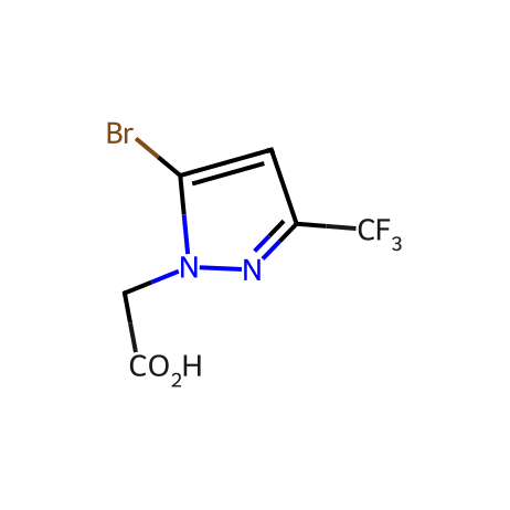 O=C(O)Cn1nc(C(F)(F)F)cc1Br